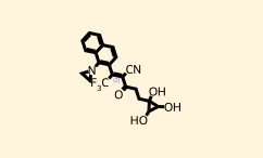 N#C/C(C(=O)CCC1(O)C(O)C1O)=C(\c1ccc2ccccc2c1N1CC1)C(F)(F)F